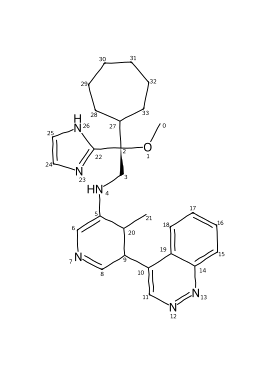 CO[C@](CNC1=CN=CC(c2cnnc3ccccc23)C1C)(c1ncc[nH]1)C1CCCCCC1